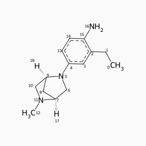 CCc1cc(N2C[C@@H]3C[C@H]2CN3C)ccc1N